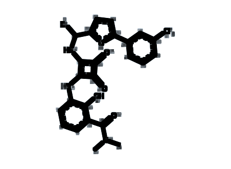 CCC(Nc1c(Nc2cccc(C(=O)N(C)C)c2O)c(=O)c1=O)c1ccc(-c2cccc(C(F)(F)F)c2)o1